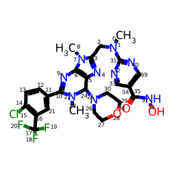 CN(Cc1nc2c(n1C)N=C(c1ccc(Cl)c(C(F)(F)F)c1)N(C)C2N1CCOCC1)c1ncc(C(=O)NO)cn1